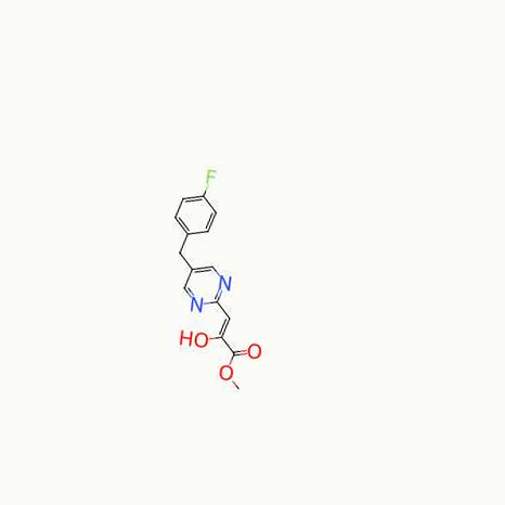 COC(=O)C(O)=Cc1ncc(Cc2ccc(F)cc2)cn1